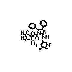 CC(C)(C)OC(=O)N1C(NCc2cc(F)c(F)c(F)c2)=N[C@H](c2ccccc2)[C@@H]1c1ccccc1